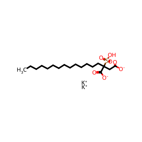 CCCCCCCCCCCCCCC(CC(=O)[O-])(C(=O)[O-])S(=O)(=O)O.[K+].[K+]